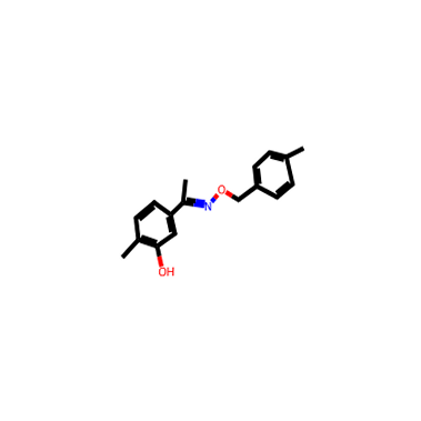 C/C(=N\OCc1ccc(C)cc1)c1ccc(C)c(O)c1